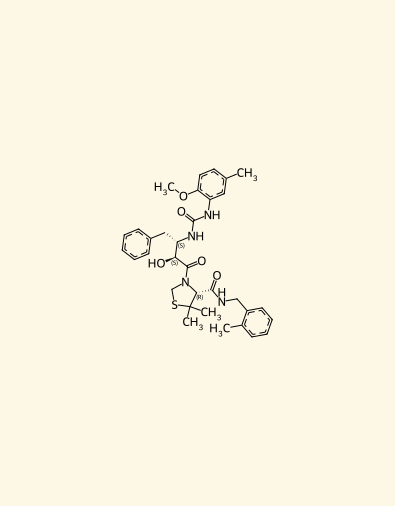 COc1ccc(C)cc1NC(=O)N[C@@H](Cc1ccccc1)[C@H](O)C(=O)N1CSC(C)(C)[C@H]1C(=O)NCc1ccccc1C